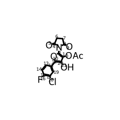 CC(=O)Oc1c(N2C(=O)CCC2=O)oc(-c2ccc(F)c(Cl)c2)c1O